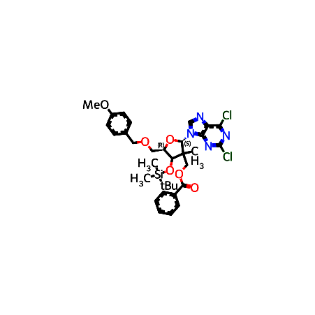 COc1ccc(COC[C@H]2O[C@H](n3cnc4c(Cl)nc(Cl)nc43)C(C)(COC(=O)c3ccccc3)C2O[Si](C)(C)C(C)(C)C)cc1